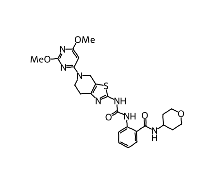 COc1cc(N2CCc3nc(NC(=O)Nc4ccccc4C(=O)NC4CCOCC4)sc3C2)nc(OC)n1